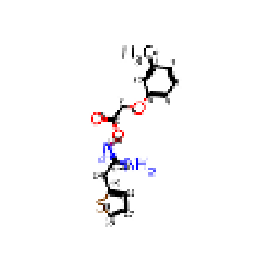 Cc1cccc(OCC(=O)O/N=C(\N)Cc2cccs2)c1